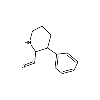 O=CC1NCCCC1c1ccccc1